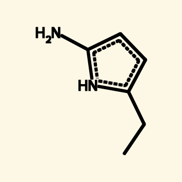 CCc1ccc(N)[nH]1